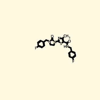 Cc1nc(N2CCN(Cc3ccc(F)cc3)C2=O)sc1C(=O)NCc1ccc(F)cc1